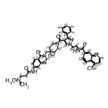 CN(C)CCC(=O)Nc1ccc2c(=O)n(CC3(O)CCN(C(=O)c4cn(CCNC(=O)c5ccc6c(Cl)ccnc6c5)nc4-c4ccccc4)CC3)cnc2c1